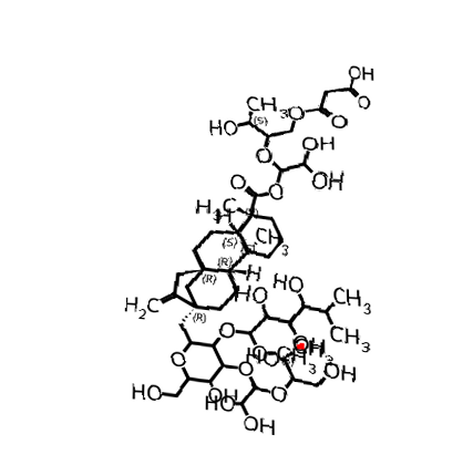 C=C1C[C@@]23CC[C@H]4[C@@](C)(CCC[C@@]4(C)C(=O)OC(OC(COC(=O)CC(=O)O)[C@H](C)O)C(O)O)[C@@H]2CC[C@]1(CC1OC(CO)C(O)C(OC(OC(CO)[C@H](C)O)C(O)O)C1OC(OC)C(O)C(O)C(O)C(C)C)C3